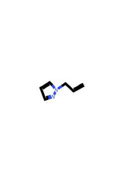 C=CCn1cc[c]n1